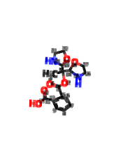 CC(OC(=O)c1ccccc1C(=O)O)(C1NCCO1)C1NCCO1